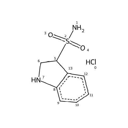 Cl.NS(=O)(=O)C1CNc2ccccc21